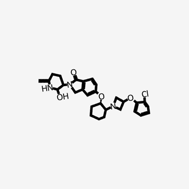 C=C1CCC(N2Cc3cc(O[C@@H]4CCCCC4N4CC(Oc5ccccc5Cl)C4)ccc3C2=O)C(O)N1